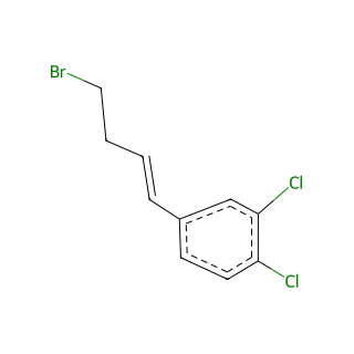 Clc1ccc(C=CCCBr)cc1Cl